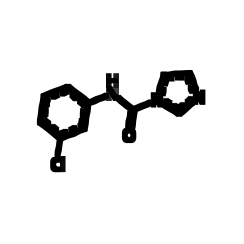 O=C(Nc1cccc(Cl)c1)n1ccnc1